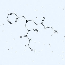 CCOC(=O)CCN(Cc1ccccc1)CC(C)C(=O)OCC